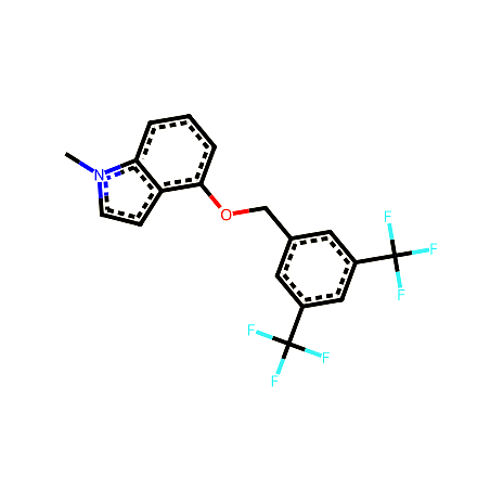 Cn1ccc2c(OCc3cc(C(F)(F)F)cc(C(F)(F)F)c3)cccc21